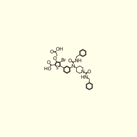 O=C(O)COc1c(C(=O)O)sc(-c2cccc(N(C(=O)NCc3ccccc3)C3CCN(C(=O)NCc4ccccc4)CC3)c2)c1Br